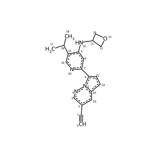 C#Cc1cnn2c(-c3cc(NC4COC4)c(C(C)C)cn3)ccc2c1